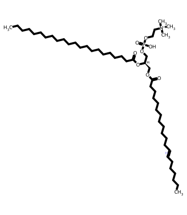 CCCCCC/C=C/CCCCCCCCCCCC(=O)OC[C@H](COP(=O)(O)OCC[N+](C)(C)C)OC(=O)CCCCCCCCCCCCCCCCCCCCC